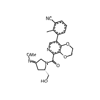 CO/N=C1/C[C@@H](CO)N(C(=O)c2ncc(-c3cccc(C#N)c3C)c3c2OCCO3)C1